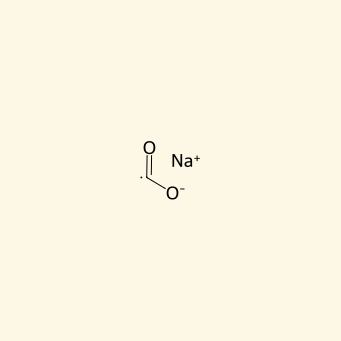 O=[C][O-].[Na+]